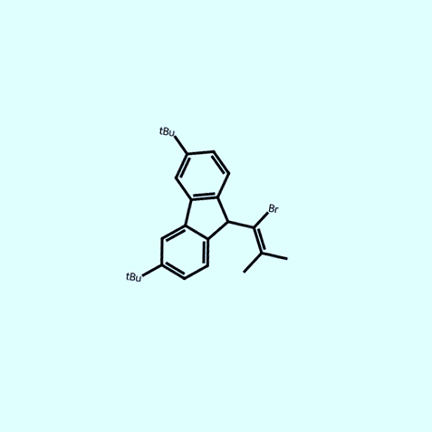 CC(C)=C(Br)C1c2ccc(C(C)(C)C)cc2-c2cc(C(C)(C)C)ccc21